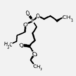 CCCCOP(=O)(CCCC(=O)OCC)OCCCC